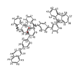 c1cc(-c2ccc(N(c3ccc(-c4ccc(-c5ccc6ccccc6c5)cc4)cc3)c3ccccc3-c3cccc4sc5ccccc5c34)cc2)cc(-n2c3ccccc3c3ccccc32)c1